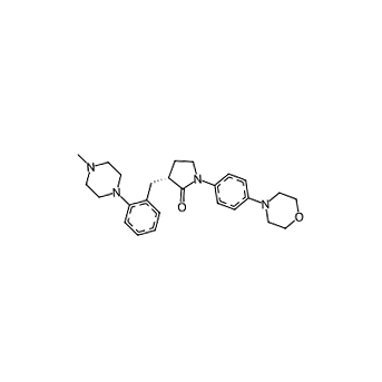 CN1CCN(c2ccccc2C[C@@H]2CCN(c3ccc(N4CCOCC4)cc3)C2=O)CC1